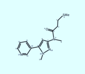 CSCCC(=O)N(C)c1cc(-c2cccnc2)n(C)n1